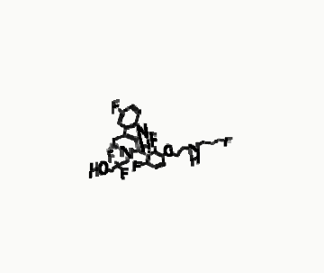 C[C@@H]1Cc2c([nH]c3ccc(F)cc23)C(c2c(F)ccc(OCCNCCCF)c2F)N1CC(F)(F)CO